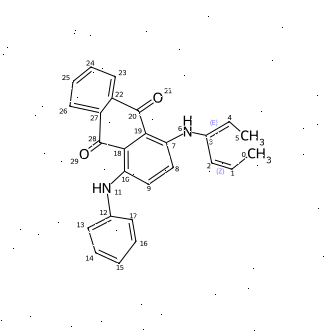 C/C=C\C(=C/C)Nc1ccc(Nc2ccccc2)c2c1C(=O)c1ccccc1C2=O